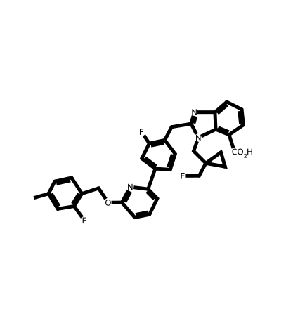 Cc1ccc(COc2cccc(-c3ccc(Cc4nc5cccc(C(=O)O)c5n4CC4(CF)CC4)c(F)c3)n2)c(F)c1